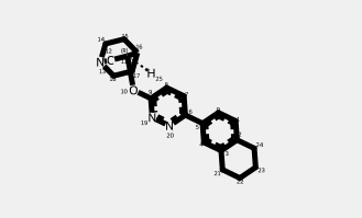 c1cc2c(cc1-c1ccc(O[C@H]3CN4CCC3CC4)nn1)CCCC2